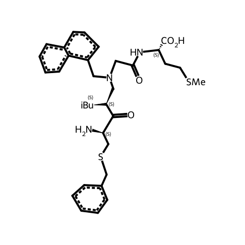 CC[C@H](C)[C@@H](CN(CC(=O)N[C@@H](CCSC)C(=O)O)Cc1cccc2ccccc12)C(=O)[C@H](N)CSCc1ccccc1